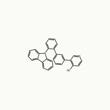 N#Cc1ccncc1-c1cccc(-c2ccccc2-n2c3ccccc3c3ccccc32)c1